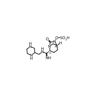 N=C(NCC1CNCCN1)[C@@H]1CC[C@@H]2CN1C(=O)N2OS(=O)(=O)O